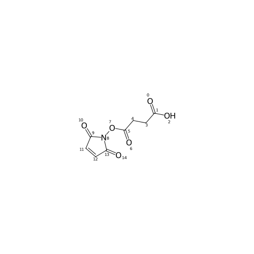 O=C(O)CCC(=O)ON1C(=O)C=CC1=O